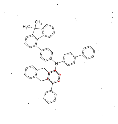 CC1(C)c2ccccc2-c2c(-c3ccc(N(c4ccc(-c5ccccc5)cc4)c4ccc(-c5ccccc5)c5c4C4c6ccccc6C5c5ccccc54)cc3)cccc21